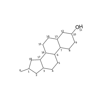 CC1CC2CCC3C4CCC(O)CC4CCC3C2C1